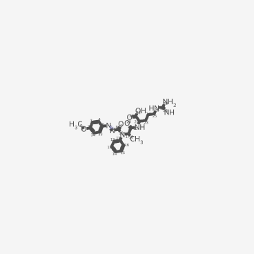 COc1ccc(/N=N/C(=O)N(c2ccccc2)C(C)C(=O)NC(CCCNC(=N)N)C(=O)O)cc1